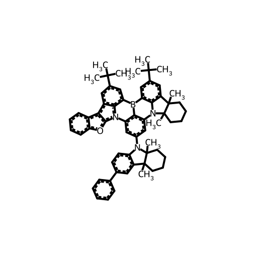 CC(C)(C)c1cc2c3c(c1)C1(C)CCCCC1(C)N3c1cc(N3c4ccc(-c5ccccc5)cc4C4(C)CCCCC34C)cc3c1B2c1cc(C(C)(C)C)cc2c4c5ccccc5oc4n-3c12